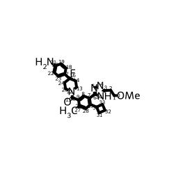 COCCc1nnc(-c2cc(C(=O)N3CCC(F)(c4ccc(N)cc4)CC3)c(C)cc2C2CCC2)[nH]1